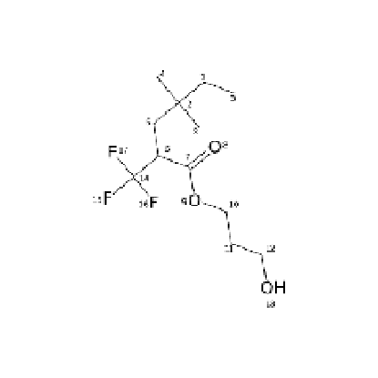 CCC(C)(C)CC(C(=O)OCCCO)C(F)(F)F